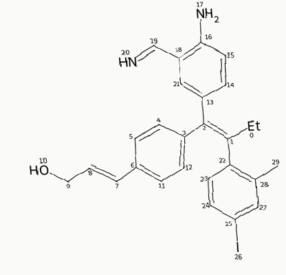 CC/C(=C(/c1ccc(/C=C/CO)cc1)c1ccc(N)c(C=N)c1)c1ccc(I)cc1C